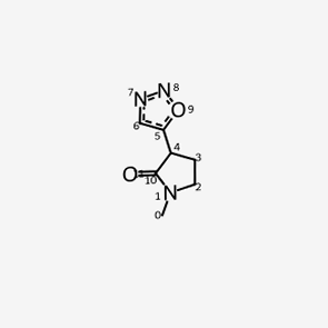 CN1CCC(c2cnno2)C1=O